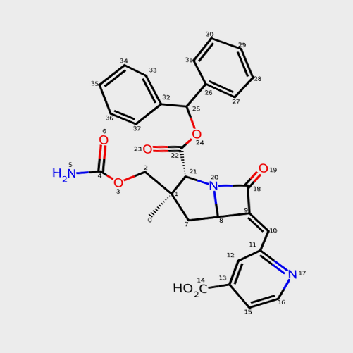 C[C@@]1(COC(N)=O)CC2/C(=C\c3cc(C(=O)O)ccn3)C(=O)N2[C@H]1C(=O)OC(c1ccccc1)c1ccccc1